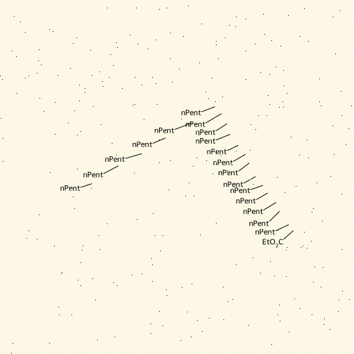 CCCCCC.CCCCCC.CCCCCC.CCCCCC.CCCCCC.CCCCCC.CCCCCC.CCCCCC.CCCCCC.CCCCCC.CCCCCC.CCCCCC.CCCCCC.CCCCCC.CCCCCC.CCCCCC.CCCCCC.CCCCCC.CCOC(C)=O